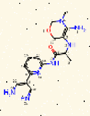 C[C@H](NC1=C(N)N(C)COC1)C(=O)Nc1cccc(/C(C=N)=C/N)n1